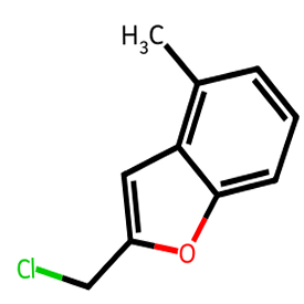 Cc1cccc2oc(CCl)cc12